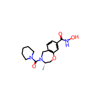 C[C@H]1COc2cc(C(=O)NO)ccc2CN1C(=O)N1CCCCC1